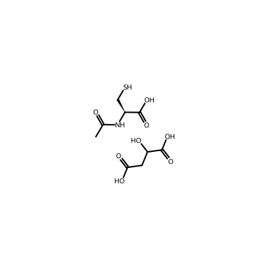 CC(=O)N[C@@H](CS)C(=O)O.O=C(O)CC(O)C(=O)O